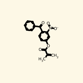 C=C(C)C(=O)Oc1ccc(C(=O)c2ccccc2)c([N+](=O)[O-])c1